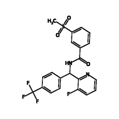 CS(=O)(=O)c1cccc(C(=O)NC(c2ccc(C(F)(F)F)cc2)c2ncccc2F)c1